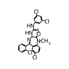 CN1C(=O)C(NC(=S)Nc2cc(Cl)cc(Cl)c2)N=C(c2ccccc2Cl)c2cc(Cl)ccc21